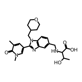 Cc1cc(-c2nc3cc(CNC(C(=O)O)C(C)O)ccc3n2CC2CCOCC2)cn(C)c1=O